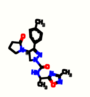 Cc1ccc(C2=NN(C(=O)NC(C)c3nc(C)no3)C[C@H]2N2CCCC2=O)cc1